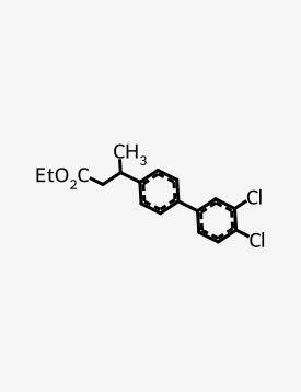 CCOC(=O)CC(C)c1ccc(-c2ccc(Cl)c(Cl)c2)cc1